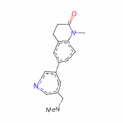 CNCc1cncc(-c2ccc3c(c2)CCC(=O)N3C)c1